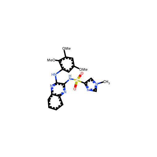 COc1cc(Nc2nc3ccccc3nc2NS(=O)(=O)c2cn(C)cn2)c(OC)c(OC)c1